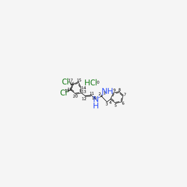 Cl.N=C(Cc1ccccc1)N/C=C/c1ccc(Cl)c(Cl)c1